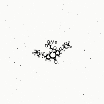 COC(=O)CCC(=O)N1Cc2cc(OC[C@@H]3COC(C)(C)O3)ccc2-c2c(c2=O)-c2ccc(OC[C@@H]3COC(C)(C)O3)cc21